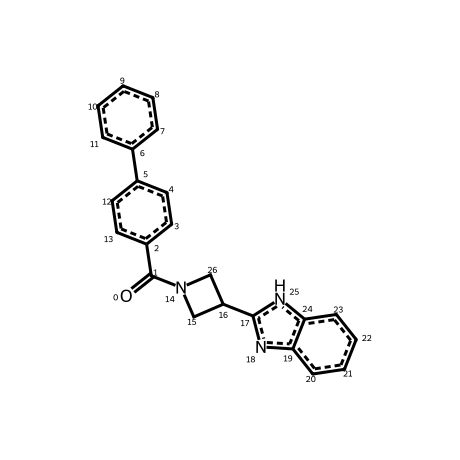 O=C(c1ccc(-c2ccccc2)cc1)N1CC(c2nc3ccccc3[nH]2)C1